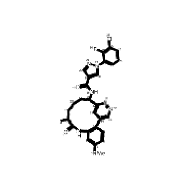 CNc1ccc2c(c1)NC(=O)C(C)CCCC(NC(=O)c1cnn(-c3cccc(Cl)c3F)c1)c1cc-2cnn1